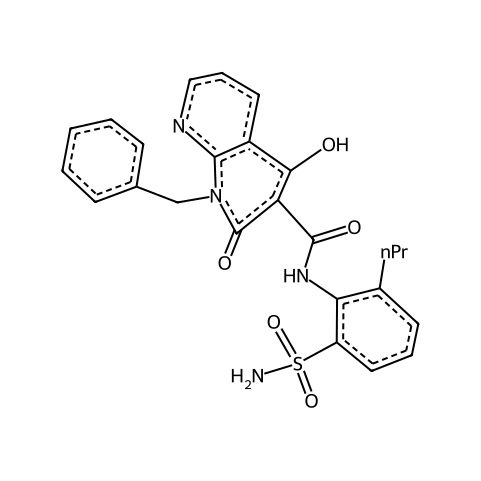 CCCc1cccc(S(N)(=O)=O)c1NC(=O)c1c(O)c2cccnc2n(Cc2ccccc2)c1=O